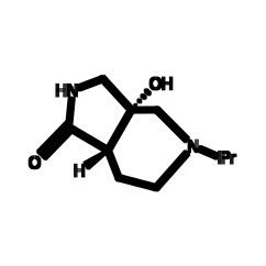 CC(C)N1CC[C@@H]2C(=O)NC[C@@]2(O)C1